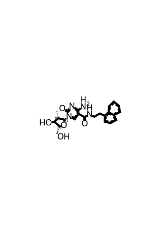 C[C@H]1C(O)[C@@H](CO)O[C@H]1n1cc(C(=O)NCCc2cccc3ccccc23)c(N)nc1=O